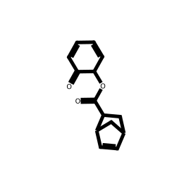 O=C1C=CC=CC1OC(=O)C1CC2C=CC1C2